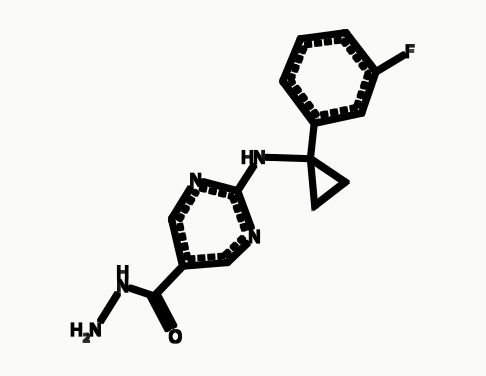 NNC(=O)c1cnc(NC2(c3cccc(F)c3)CC2)nc1